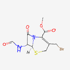 COC(=O)C1=C(CBr)CS[C@H]2C(NC=O)C(=O)N12